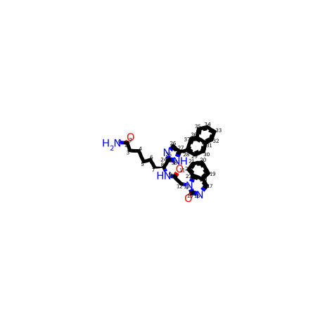 NC(=O)CCCCC[C@H](NC(=O)Cn1c(=O)ncc2ccccc21)c1ncc(-c2ccc3ccccc3c2)[nH]1